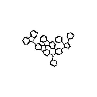 c1ccc(-c2nnc(-c3ccc(N(c4ccccc4)c4ccc5c(c4)C4(c6ccccc6-c6ccccc64)c4cc(-n6c7ccccc7c7ccccc76)ccc4-5)cc3)n2-c2ccccc2)cc1